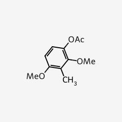 COc1ccc(OC(C)=O)c(OC)c1C